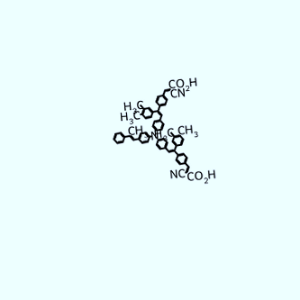 C/C(=C\c1ccc(N(c2ccc(/C=C(/c3ccc(/C=C(\C#N)C(=O)O)cc3)c3ccc(C)c(C)c3)cc2)c2ccc(/C=C(/c3ccc(/C=C(\C#N)C(=O)O)cc3)c3ccc(C)c(C)c3)cc2)cc1)c1ccccc1